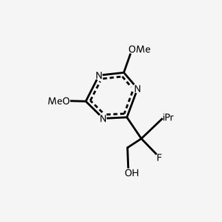 COc1nc(OC)nc(C(F)(CO)C(C)C)n1